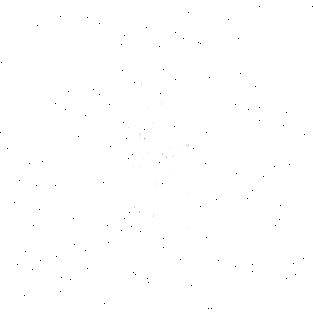 CON(C)Cc1cc(-n2c(=O)cc(C(F)(F)F)n(C)c2=O)ccc1Cl